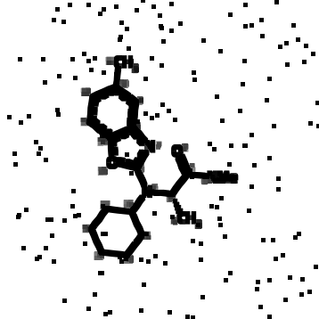 CNC(=O)[C@H](C)N(c1nc2cc(C)ccc2o1)C1CCCCC1